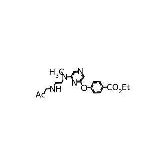 CCOC(=O)c1ccc(Oc2cncc(N(C)CCNCC(C)=O)n2)cc1